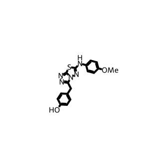 COc1ccc(Nc2nn3c(Cc4ccc(O)cc4)nnc3s2)cc1